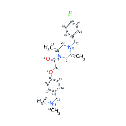 CC1CN(C(=O)COc2ccc(CN(C)C)cc2)C(C)CN1Cc1ccc(F)cc1